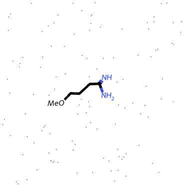 COCCCC(=N)N